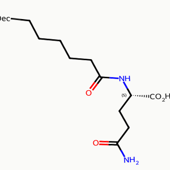 CCCCCCCCCCCCCCCC(=O)N[C@@H](CCC(N)=O)C(=O)O